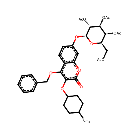 CC(=O)OC[C@H]1O[C@@H](Oc2ccc3c(OCc4ccccc4)c(OC4CCC(C)CC4)c(=O)oc3c2)[C@H](OC(C)=O)[C@@H](OC(C)=O)[C@H]1OC(C)=O